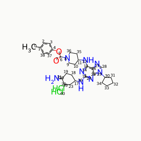 Cc1ccc(OC(=O)N2CCC(Nc3nc(NC4CCC(N)CC4)nc4c3ncn4C3CCCC3)CC2)cc1.Cl.Cl